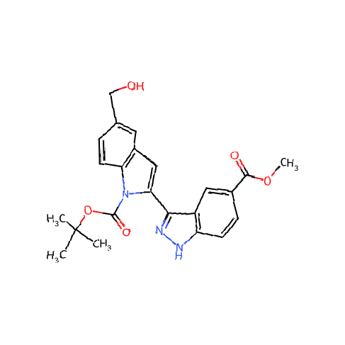 COC(=O)c1ccc2[nH]nc(-c3cc4cc(CO)ccc4n3C(=O)OC(C)(C)C)c2c1